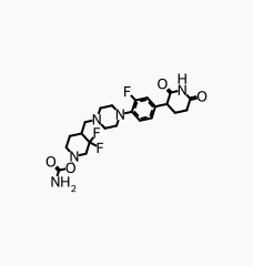 NC(=O)ON1CCC(CN2CCN(c3ccc(C4CCC(=O)NC4=O)cc3F)CC2)C(F)(F)C1